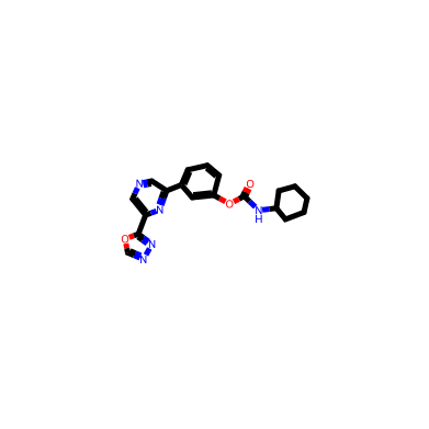 O=C(NC1CCCCC1)Oc1cccc(-c2cncc(-c3nnco3)n2)c1